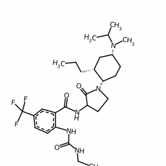 CCC[C@@H]1C[C@H](N(C)C(C)C)CC[C@@H]1N1CCC(NC(=O)c2cc(C(F)(F)F)ccc2NC(=O)NCC)C1=O